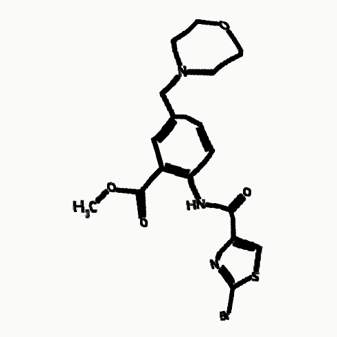 COC(=O)c1cc(CN2CCOCC2)ccc1NC(=O)c1csc(Br)n1